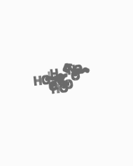 C=CCOC(=O)N1CCC[C@H]1CC1=C(C(=O)O)N2C(=O)[C@H]([C@@H](C)O)[C@H]2C1